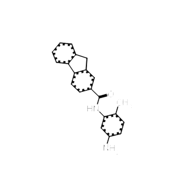 Cc1ccc(N)cc1NC(=O)c1ccc2c(c1)Cc1ccccc1-2